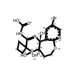 C[C@]12N=C(NC(=O)O)C3(CCC3)S(O)(O)[C@@H]1CCOc1ncc(Br)cc12